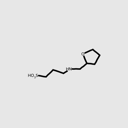 O=S(=O)(O)CCCNCC1CCCO1